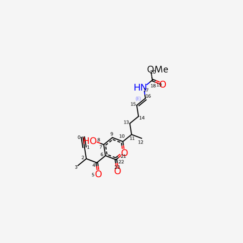 C#CC(C)C(=O)c1c(O)cc(C(C)CC/C=C/NC(=O)OC)oc1=O